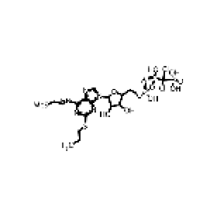 CSCCNc1nc(SCCC(F)(F)F)nc2c1ncn2C1OC(COP(=O)(O)OP(=O)(O)C(Cl)(Cl)P(=O)(O)O)C(O)C1O